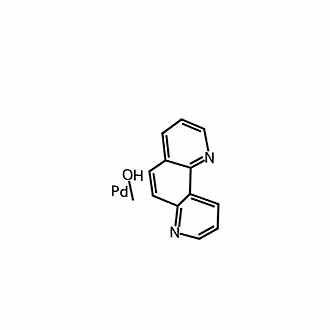 CO.[Pd].c1cnc2c(c1)ccc1ncccc12